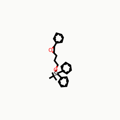 CC(C)(C)[Si](OCCCC1OC1c1ccccc1)(c1ccccc1)c1ccccc1